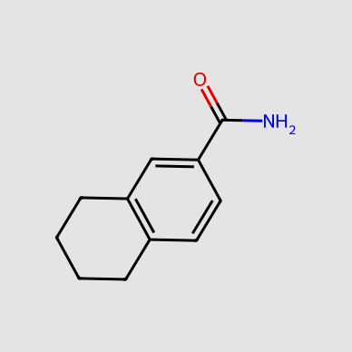 NC(=O)c1ccc2c(c1)CCCC2